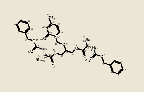 CC[C@H](C)[C@H](NC(=O)OCc1ccccc1)C(=O)OCC(COC(=O)[C@@H](NC(=O)OCc1ccccc1)[C@@H](C)CC)OCn1ccc(N)nc1=O